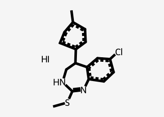 CSC1=Nc2ccc(Cl)cc2C(c2ccc(C)cc2)CN1.I